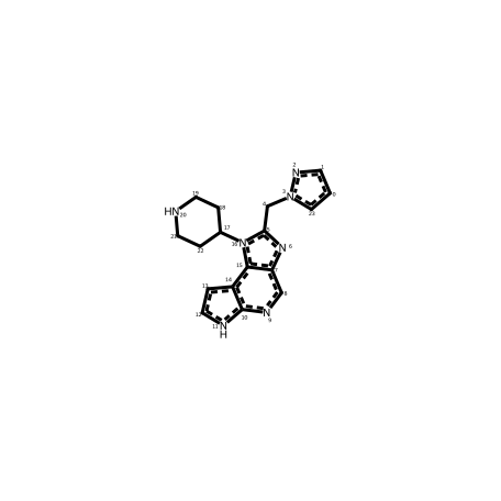 c1cnn(Cc2nc3cnc4[nH]ccc4c3n2C2CCNCC2)c1